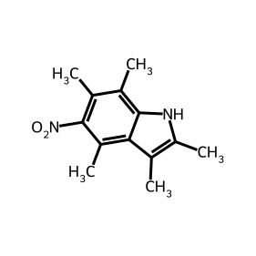 Cc1[nH]c2c(C)c(C)c([N+](=O)[O-])c(C)c2c1C